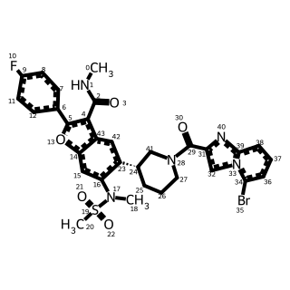 CNC(=O)c1c(-c2ccc(F)cc2)oc2cc(N(C)S(C)(=O)=O)c([C@H]3CCCN(C(=O)c4cn5c(Br)cccc5n4)C3)cc12